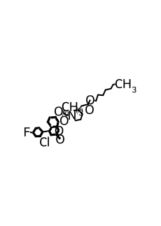 CCCCCCCOC(=O)C[C@H]1CCCN(C(=O)[C@@H](C)Oc2ccc3c(-c4ccc(F)cc4Cl)cc(=O)oc3c2)C1